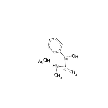 CN[C@@H](C)[C@@H](O)c1ccccc1.Cl.[Au]